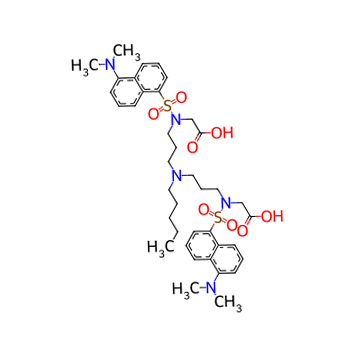 CCCCCN(CCCN(CC(=O)O)S(=O)(=O)c1cccc2c(N(C)C)cccc12)CCCN(CC(=O)O)S(=O)(=O)c1cccc2c(N(C)C)cccc12